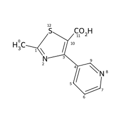 Cc1nc(-c2cccnc2)c(C(=O)O)s1